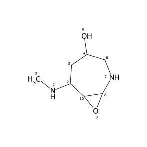 CNC1CC(O)CNC2OC12